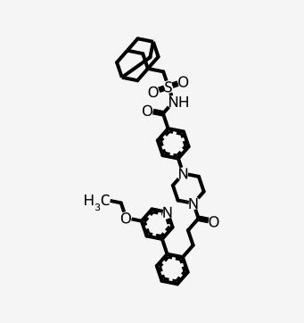 CCOc1cncc(-c2ccccc2CCC(=O)N2CCN(c3ccc(C(=O)NS(=O)(=O)CC45CC6CC(CC(C6)C4)C5)cc3)CC2)c1